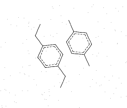 CCc1ccc(CC)cc1.Cc1ccc(C)cc1